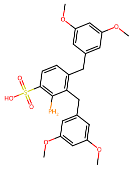 COc1cc(Cc2ccc(S(=O)(=O)O)c(P)c2Cc2cc(OC)cc(OC)c2)cc(OC)c1